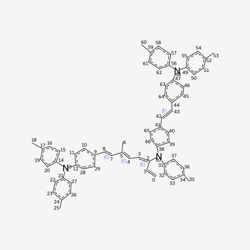 C=C\C(=C/C=C(C)/C=C/c1ccc(N(c2ccc(C)cc2)c2ccc(C)cc2)cc1)N(c1ccc(C)cc1)c1ccc(/C=C/c2ccc(N(c3ccc(C)cc3)c3ccc(C)cc3)cc2)cc1